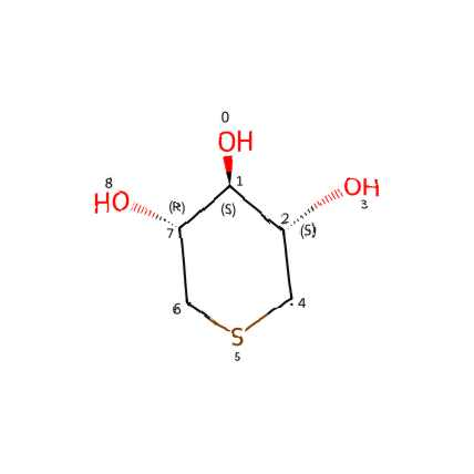 O[C@H]1[C@H](O)[CH]SC[C@@H]1O